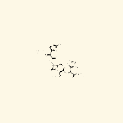 CON=C(C(=O)NC1C(=O)N2C(C(=O)O)=C(SC(C(N)=O)c3nnnn3C)SCC12)c1csc(N)n1